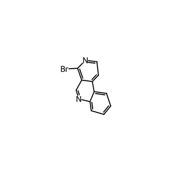 Brc1nccc2c1cnc1ccccc12